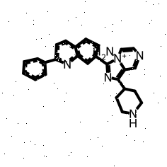 N[N+]12C=CN=CC1=C(C1CCNCC1)N=C2c1ccc2ccc(-c3ccccc3)nc2c1